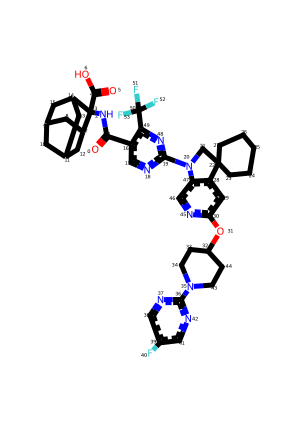 O=C(NC1(C(=O)O)C2CC3CC(C2)CC1C3)c1cnc(N2CC3(CCCCC3)c3cc(OC4CCN(c5ncc(F)cn5)CC4)ncc32)nc1C(F)(F)F